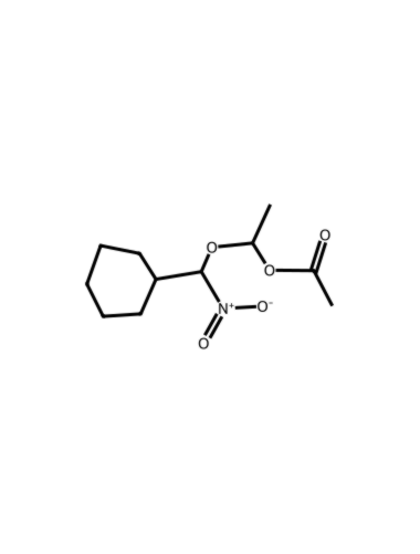 CC(=O)OC(C)OC(C1CCCCC1)[N+](=O)[O-]